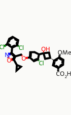 COc1ccc(C(=O)O)cc1[C@H]1C[C@](O)(C2CC=C(OCc3c(-c4c(Cl)cccc4Cl)noc3C3CC3)C=C2Cl)C1